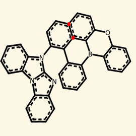 c1ccc2c(c1)Oc1ccccc1B2c1ccccc1-c1ccccc1-n1c2ccccc2n2c3ccccc3nc12